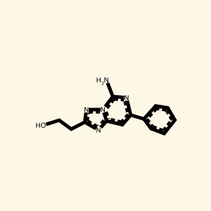 Nc1nc(-c2ccccc2)cc2nc(CCO)nn12